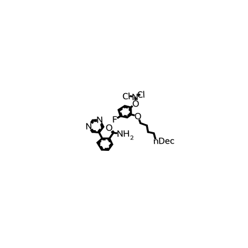 CCCCCCCCCCCCCCOc1cc(F)ccc1ON(Cl)Cl.NC(=O)c1ccccc1-c1cncnc1